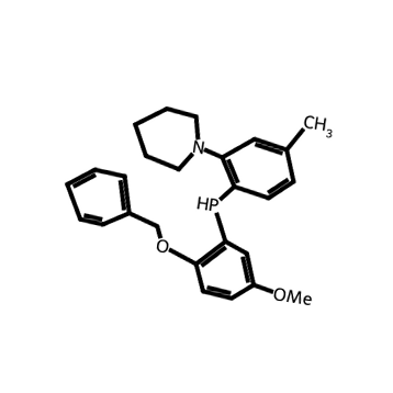 COc1ccc(OCc2ccccc2)c(Pc2ccc(C)cc2N2CCCCC2)c1